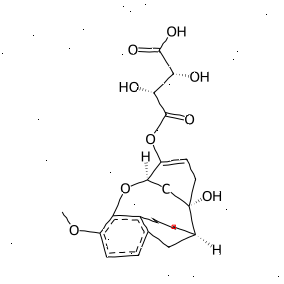 COc1ccc2c3c1O[C@@H]1C[C@@](O)(CC=C1OC(=O)[C@H](O)[C@@H](O)C(=O)O)[C@H](CCCC3)C2